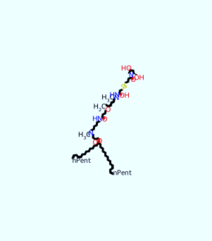 C=C\C(=C/C=C/C(C)=N/NC(O)CCSSCCCC(=O)N1C[C@H](O)C[C@H]1CO)OCCCC(=O)NCCCCCCN(C)CCC1COC(CCCCCCCC/C=C\C/C=C\CCCCC)(CCCCCCCCCC/C=C\C/C=C\CCCCC)O1